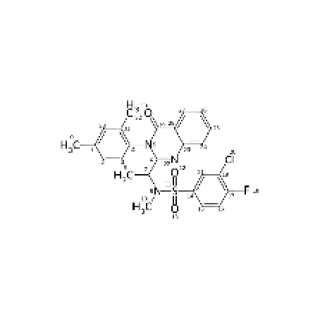 Cc1ccc(-n2c(C(C)N(C)S(=O)(=O)c3ccc(F)c(Cl)c3)nc3ccccc3c2=O)c(C)c1